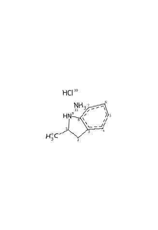 CC1Cc2ccccc2N1.Cl.N